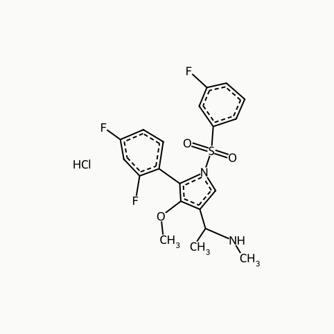 CNC(C)c1cn(S(=O)(=O)c2cccc(F)c2)c(-c2ccc(F)cc2F)c1OC.Cl